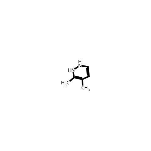 CC1=C(C)NNC=C1